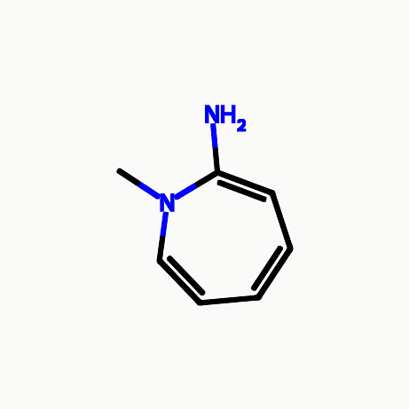 CN1C=CC=CC=C1N